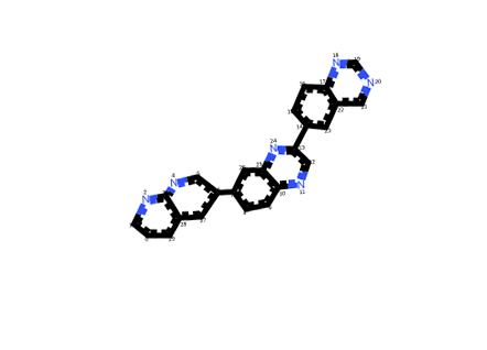 c1cnc2ncc(-c3ccc4ncc(-c5ccc6ncncc6c5)nc4c3)cc2c1